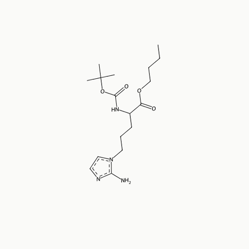 CCCCOC(=O)C(CCCn1ccnc1N)NC(=O)OC(C)(C)C